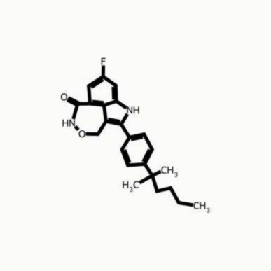 CCCCC(C)(C)c1ccc(-c2[nH]c3cc(F)cc4c3c2CONC4=O)cc1